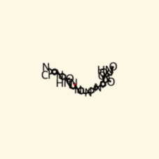 N#Cc1ccc(N2CCC(C(=O)Nc3ccc(N4CCC(CN5CCC6(CC5)CN(c5ccc7c(c5)C(=O)N(C5CCC(=O)NC5=O)C7=O)C6)CC4)cn3)CC2)cc1Cl